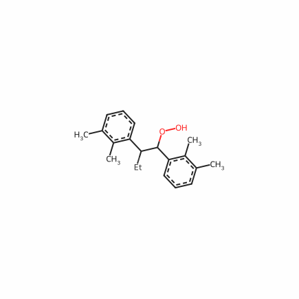 CCC(c1cccc(C)c1C)C(OO)c1cccc(C)c1C